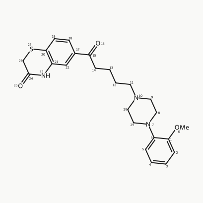 COc1ccccc1N1CCN(CCCCC(=O)c2ccc3c(c2)NC(=O)CS3)CC1